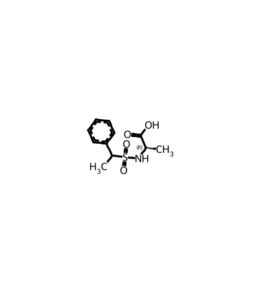 CC(c1ccccc1)S(=O)(=O)N[C@H](C)C(=O)O